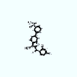 Nc1c(C(=O)c2ccc(F)cc2Cl)oc2cc(-c3cccc(S(N)(=O)=O)c3)ccc12